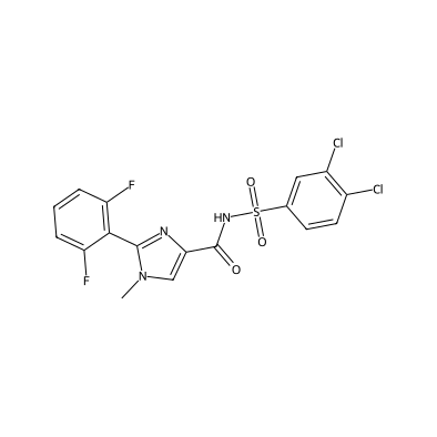 Cn1cc(C(=O)NS(=O)(=O)c2ccc(Cl)c(Cl)c2)nc1-c1c(F)cccc1F